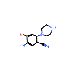 N#Cc1cc(N)c(Br)cc1N1CCNCC1